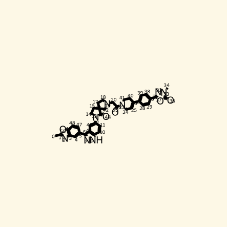 Cc1nc2cc(-c3n[nH]c4ccc(N5CCC6(CCN(CC(=O)N7CC=C(c8ccc(-c9nn(C)c(=O)o9)cc8)CC7)C6)C5=O)cc34)ccc2o1